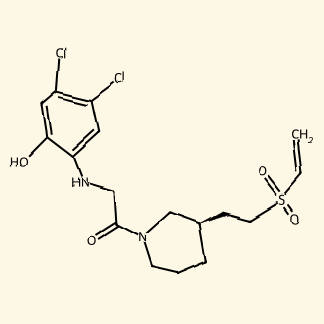 C=CS(=O)(=O)CC[C@H]1CCCN(C(=O)CNc2cc(Cl)c(Cl)cc2O)C1